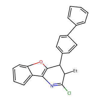 CCC1C(Cl)=Nc2c(oc3ccccc23)C1c1ccc(-c2ccccc2)cc1